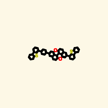 c1ccc2c(c1)sc1c(-c3ccc(-c4cc5ccc6oc7cc(-c8cccc9c8sc8ccccc89)cc8ccc9oc(c4)c5c6-c9c87)cc3)cccc12